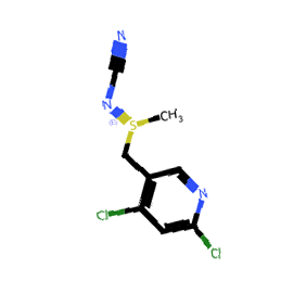 C/S(Cc1cnc(Cl)cc1Cl)=N\C#N